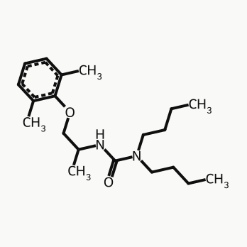 CCCCN(CCCC)C(=O)NC(C)COc1c(C)cccc1C